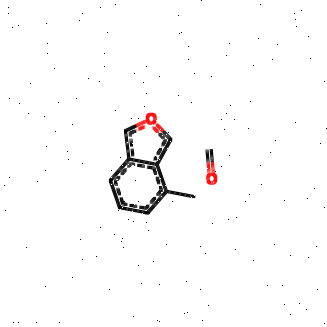 C=O.Cc1cccc2cocc12